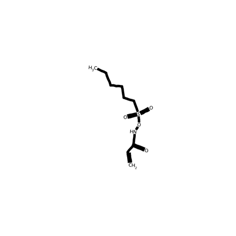 C=CC(=O)NOS(=O)(=O)CCCCCC